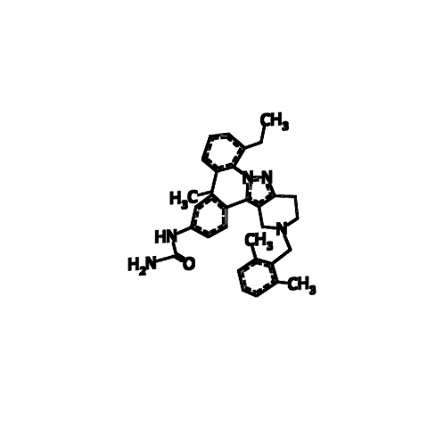 CCc1cccc(CC)c1-n1nc2c(c1-c1ccc(NC(N)=O)cc1)CN(Cc1c(C)cccc1C)CC2